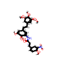 COc1ccc(/C=C/C(=O)Nc2cc(C=Cc3cc(OC)c(OC)c(OC)c3)cc(OC)c2O)cc1[N+](=O)[O-]